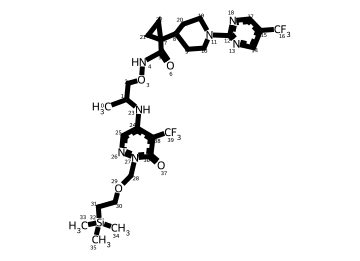 CC(CONC(=O)C1(C2CCN(c3ncc(C(F)(F)F)cn3)CC2)CC1)Nc1cnn(COCC[Si](C)(C)C)c(=O)c1C(F)(F)F